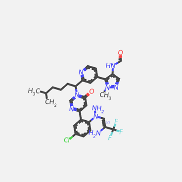 CC(C)CCCC(c1cc(-c2c(NC=O)cnn2C)ccn1)n1cnc(-c2cc(Cl)ccc2N(N)/C=C(\N)C(F)(F)F)cc1=O